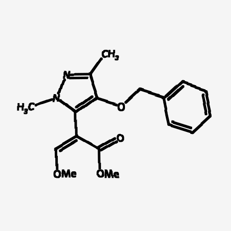 COC=C(C(=O)OC)c1c(OCc2ccccc2)c(C)nn1C